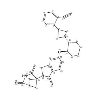 N#Cc1ccccc1C1CN([C@@H]2CCCC[C@H]2Oc2ccc3c(c2)CN(C24CC(C2)C(=O)NC4=O)C3=O)C1